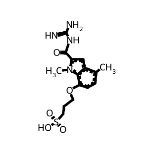 Cc1ccc(OCCCS(=O)(=O)O)c2c1cc(C(=O)NC(=N)N)n2C